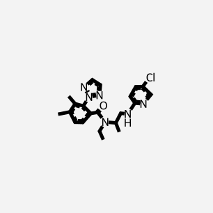 CCN(C(=O)c1ccc(C)c(C)c1-n1nccn1)C(C)CNc1ccc(Cl)cn1